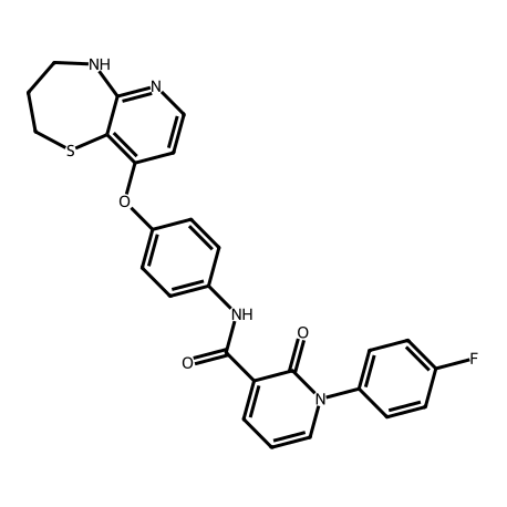 O=C(Nc1ccc(Oc2ccnc3c2SCCCN3)cc1)c1cccn(-c2ccc(F)cc2)c1=O